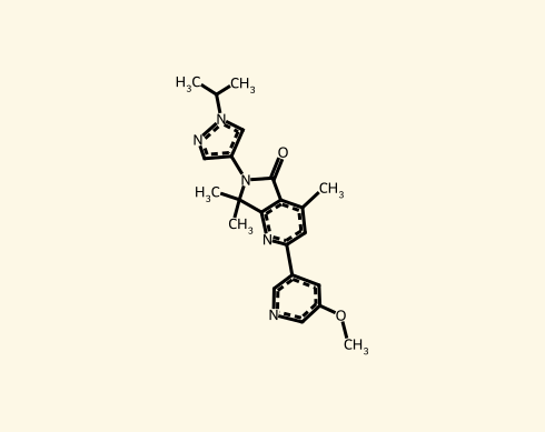 COc1cncc(-c2cc(C)c3c(n2)C(C)(C)N(c2cnn(C(C)C)c2)C3=O)c1